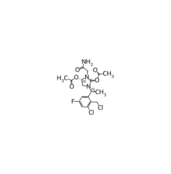 CC(=O)O[C@@H]1N(CC(N)=O)[C@@H](OC(C)=O)CN1[C@@H](C)c1cc(F)cc(Cl)c1CCl